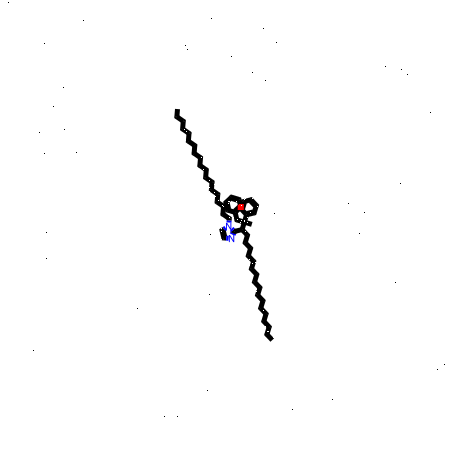 CCCCCCCCCCCCCCCCCCCn1ccnc1C(CCCCCCCCCCCCCCCCC)C(C)(Cc1ccccc1)c1ccccc1